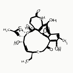 CC[C@H]1/C=C\[C@H](O)[C@H](C=C(C)C)OC(=O)[C@@]2(C)C=CC(=O)Nc3c2c(O)c2c(c(O)c(C)cc2c3O)C(=O)CC1